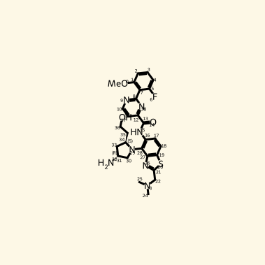 COc1cccc(F)c1-c1nccc(C(=O)Nc2ccc3sc(CN(C)C)nc3c2N2C[C@H](N)C[C@H]2CCO)n1